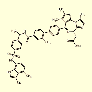 COC(=O)C[C@@H]1N=C(c2ccc(-c3ccc(C(=O)N[C@H](C)c4ccc(S(=O)(=O)Nc5ccc(C)c6c(C#N)c[nH]c56)cc4)cc3C)cc2)c2c(sc(C)c2C)-n2c(C)nnc21